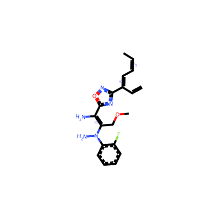 C=C/C(=C\C=C/C)c1noc(/C(N)=C(\COC)N(N)c2ccccc2F)n1